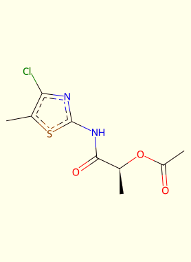 CC(=O)O[C@@H](C)C(=O)Nc1nc(Cl)c(C)s1